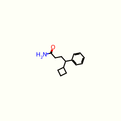 NC(=O)CCC(c1ccccc1)C1CCC1